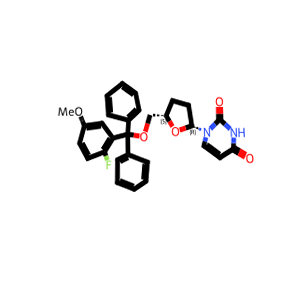 COc1ccc(F)c(C(OC[C@@H]2CC[C@H](n3ccc(=O)[nH]c3=O)O2)(c2ccccc2)c2ccccc2)c1